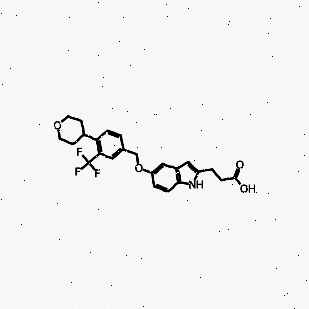 O=C(O)CCc1cc2cc(OCc3ccc(C4CCOCC4)c(C(F)(F)F)c3)ccc2[nH]1